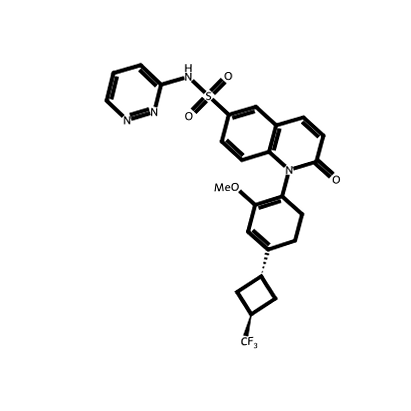 COC1=C(n2c(=O)ccc3cc(S(=O)(=O)Nc4cccnn4)ccc32)CCC([C@H]2C[C@H](C(F)(F)F)C2)=C1